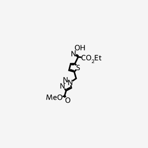 CCOC(=O)C(=NO)c1ccc(Cn2cc(C(=O)OC)nn2)s1